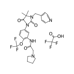 CC1(C)C(=O)N(c2ccc(OC(F)(F)F)c(NC(=O)CN3CCCC3)c2)C(=O)N1Cc1ccncc1.O=C(O)C(F)(F)F